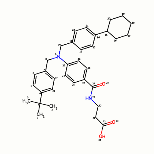 CC(C)(C)c1ccc(CN(Cc2ccc(C3CCCCC3)cc2)c2ccc(C(=O)NCCC(=O)O)cc2)cc1